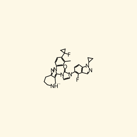 Cc1cc(-n2nc3c(c2-n2ccn(-c4ccc5c(cnn5C5CC5)c4F)c2=O)[C@H](C)NCCC3)ccc1C1(F)CC1